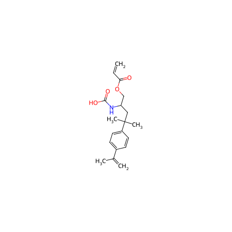 C=CC(=O)OCC(CC(C)(C)c1ccc(C(=C)C)cc1)NC(=O)O